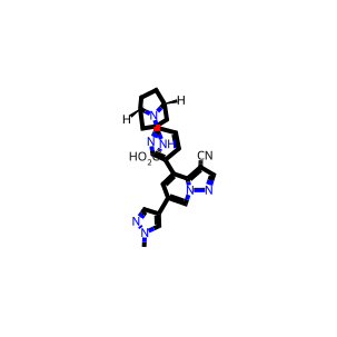 Cn1cc(-c2cc(-c3ccc(N4[C@@H]5CC[C@H]4CC(NC(=O)O)C5)nc3)c3c(C#N)cnn3c2)cn1